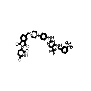 CS(=O)(=O)c1cccc(CNc2nc(Nc3ccc(N4CCN(Cc5ccc6c(c5)C(=O)N(C5CCC(=O)NC5=O)C6=O)CC4)cc3)ncc2C(F)(F)F)c1